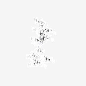 CC[C@]1(O)C[C@H]2CN(CCc3c([nH]c4ccccc34)[C@@](C(=O)OC)(c3cc4c(cc3OC)N(C)[C@H]3[C@@](O)(C(=O)N/N=C(\C)c5ccc(N6C(=O)CC(SC[C@H](NC(=O)[C@H](CC(=O)O)NC(=O)[C@@H](C)CCCNC(=N)N)C(=O)O)C6=O)cc5)[C@H](O)[C@]5(CC)C=CCN6CC[C@]43[C@@H]65)C2)C1